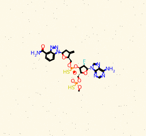 C=C1C[C@H](n2nnc3c(C(N)=O)cccc32)O[C@@H]1CO[P@](=O)(S)O[C@H]1[C@@H](F)[C@H](n2cnc3c(N)ncnc32)O[C@@H]1CO[P@@](=O)(S)OC